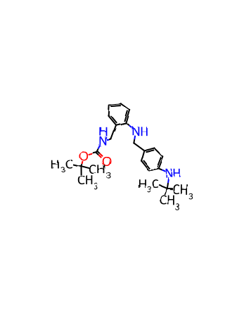 CC(C)(C)Nc1ccc(CNc2ccccc2CNC(=O)OC(C)(C)C)cc1